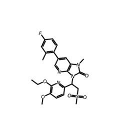 CCOc1nc(C(CS(C)(=O)=O)n2c(=O)n(C)c3cc(-c4ccc(F)cc4C)cnc32)ccc1OC